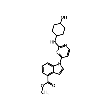 COC(=O)c1cccc2c1ccn2-c1ccnc(NC2CCC(O)CC2)n1